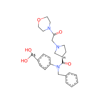 O=C(CN1CC[C@@H](C(=O)N(Cc2ccccc2)c2ccc([As](O)O)cc2)C1)N1CCOCC1